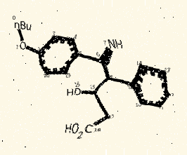 CCCCOc1ccc(C(=N)C(c2ccccc2)C(O)CC(=O)O)cc1